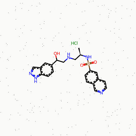 C[C@H](CNCC(O)c1ccc2[nH]ncc2c1)NS(=O)(=O)c1ccc2cnccc2c1.Cl